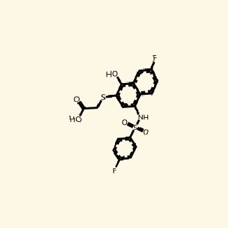 O=C(O)CSc1cc(NS(=O)(=O)c2ccc(F)cc2)c2ccc(F)cc2c1O